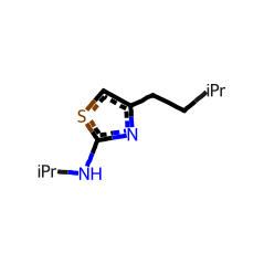 CC(C)CCc1csc(NC(C)C)n1